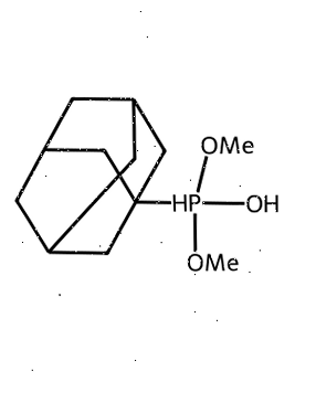 CO[PH](O)(OC)C12CC3CC(CC(C3)C1)C2